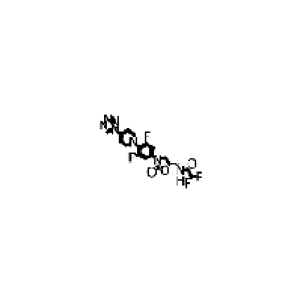 O=C(NC[C@H]1CN(c2cc(F)c(N3CCC(n4cnnn4)CC3)c(F)c2)C(=O)O1)C(F)F